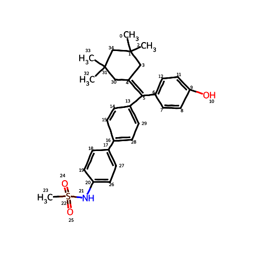 CC1(C)CC(=C(c2ccc(O)cc2)c2ccc(-c3ccc(NS(C)(=O)=O)cc3)cc2)CC(C)(C)C1